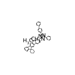 CC1(C)c2cc(-c3nc(-c4ccccc4)nc(-c4ccc(-c5ccccc5)cc4)n3)ccc2-c2cc3c(cc21)-c1ccccc1C31CCCCC1